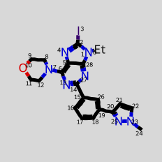 CCn1c(I)nc2c(N3CCOCC3)nc(-c3cccc(-c4ccn(C)n4)c3)nc21